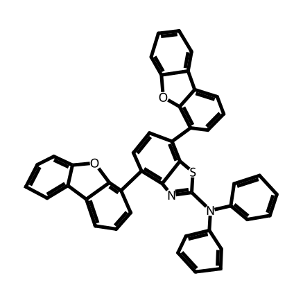 c1ccc(N(c2ccccc2)c2nc3c(-c4cccc5c4oc4ccccc45)ccc(-c4cccc5c4oc4ccccc45)c3s2)cc1